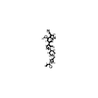 C=CC(=O)N1CC(CN2CCC(n3ncc(-c4cc(OC)c5c(C#N)cnn5c4)c3C)CC2)C1